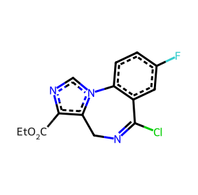 CCOC(=O)c1ncn2c1CN=C(Cl)c1cc(F)ccc1-2